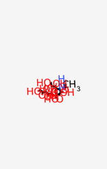 CC(=O)N[C@@H]1C(O)C[C@](OCC(O)[C@H](O)C(O)CO)(C(=O)O)OC1[C@H](O)[C@H](O)CO